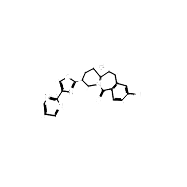 O=C1c2ccc(Cl)cc2CC[C@@H]2CC[C@H](c3nc(-c4ncccn4)cs3)CN12